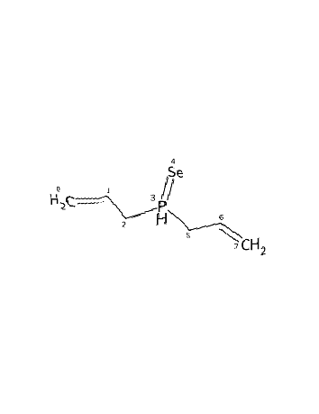 C=CC[PH](=[Se])CC=C